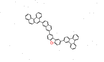 c1ccc2c(c1)ccc1cc(-c3ccc4ccc(-c5ccc6oc7ccc(-c8ccc9c%10ccccc%10c%10ccccc%10c9c8)cc7c6c5)cc4c3)c3ccccc3c12